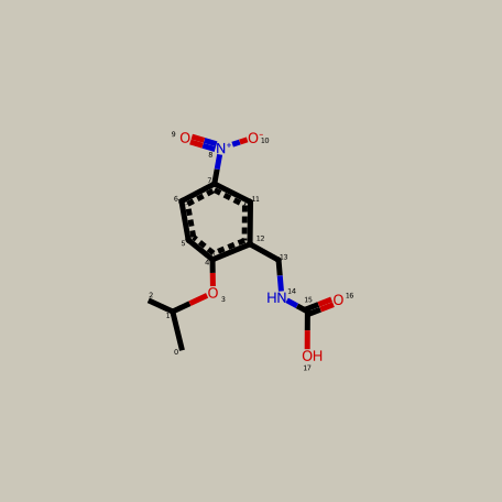 CC(C)Oc1ccc([N+](=O)[O-])cc1CNC(=O)O